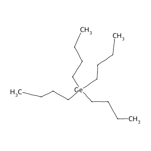 CCC[CH2][Ge]([CH2]CCC)([CH2]CCC)[CH2]CCC